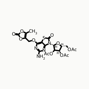 CC(=O)OC[C@H]1O[C@@H](n2c(=O)sc3c(OCc4oc(=O)oc4C)nc(N)nc32)C(OC(C)=O)[C@@H]1OC(C)=O